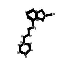 IN1Cc2cccc(OCCCN3CCOCC3)c2C1